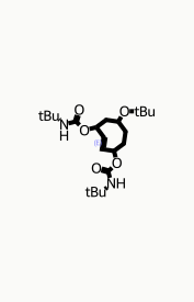 CC(C)(C)NC(=O)OC1/C=C/C(OC(=O)NC(C)(C)C)CC(OC(C)(C)C)CC1